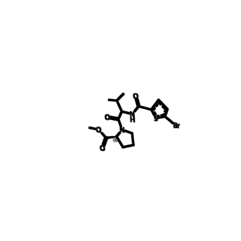 COC(=O)[C@@H]1CCCN1C(=O)C(NC(=O)c1ccc(Br)s1)C(C)C